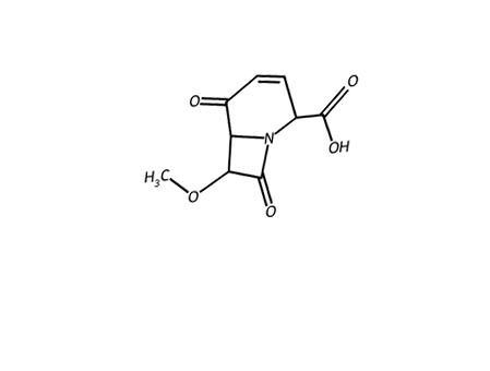 COC1C(=O)N2C(C(=O)O)C=CC(=O)C12